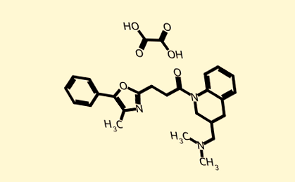 Cc1nc(CCC(=O)N2CC(CN(C)C)Cc3ccccc32)oc1-c1ccccc1.O=C(O)C(=O)O